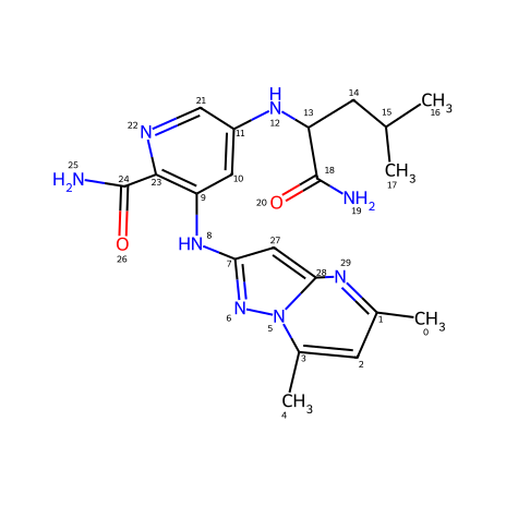 Cc1cc(C)n2nc(Nc3cc(NC(CC(C)C)C(N)=O)cnc3C(N)=O)cc2n1